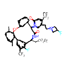 CCOC(=O)C[C@@H]1NC(=O)C(n2cc(CCN3CC(F)C3)c(C(F)(F)F)cc2=O)c2cccc(c2)Oc2c(C)ccc(C)c2-c2cc1c(F)c(C(F)(F)F)c2